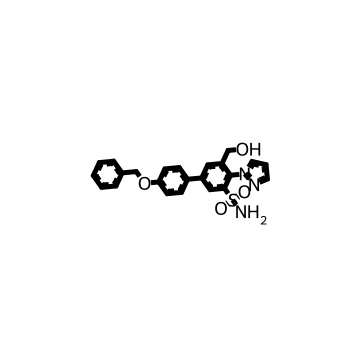 NS(=O)(=O)c1cc(-c2ccc(OCc3ccccc3)cc2)cc(CO)c1-n1cccn1